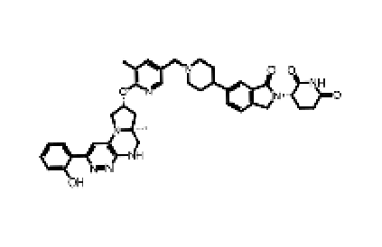 Cc1cc(CN2CCC(c3ccc4c(c3)C(=O)N([C@H]3CCC(=O)NC3=O)C4)CC2)cnc1O[C@H]1CN2c3cc(-c4ccccc4O)nnc3NC[C@]2(C)C1